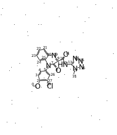 COc1ccc(-n2c(=O)c(C(=O)Nc3nnnn3C)nc3ccccc32)cc1Cl